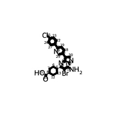 Nc1c(Br)c([C@H]2CC[C@H](C(=O)O)CC2)nc2c(-c3ccc(-c4ccc(Cl)cc4)nc3)cnn12